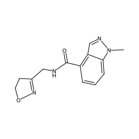 Cn1ncc2c(C(=O)NCC3=NOCC3)cccc21